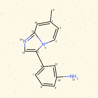 Cc1ccn2c(-c3cccc(N)c3)cnc2c1